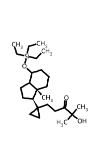 CC[Si](CC)(CC)OC1CCC[C@@]2(C)C1CC[C@@H]2C1(CCC(=O)C(C)(C)O)CC1